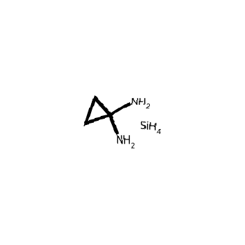 NC1(N)CC1.[SiH4]